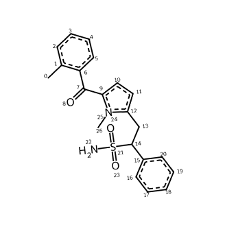 Cc1ccccc1C(=O)c1ccc(CC(c2ccccc2)S(N)(=O)=O)n1C